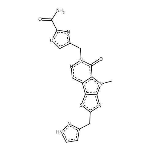 Cn1c2nc(Cc3cc[nH]n3)sc2c2cnn(Cc3coc(C(N)=O)n3)c(=O)c21